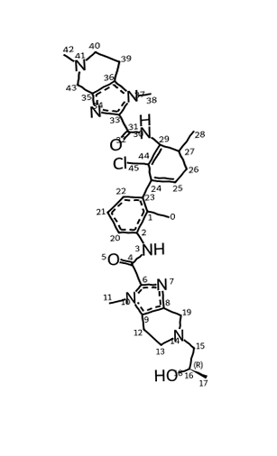 Cc1c(NC(=O)c2nc3c(n2C)CCN(C[C@@H](C)O)C3)cccc1C1=CCC(C)C(NC(=O)c2nc3c(n2C)CCN(C)C3)=C1Cl